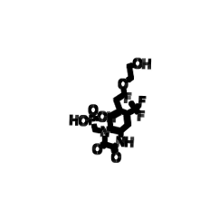 O=c1[nH]c2cc(C(F)(F)F)c(CCOCCO)cc2n(CP(=O)(O)O)c1=O